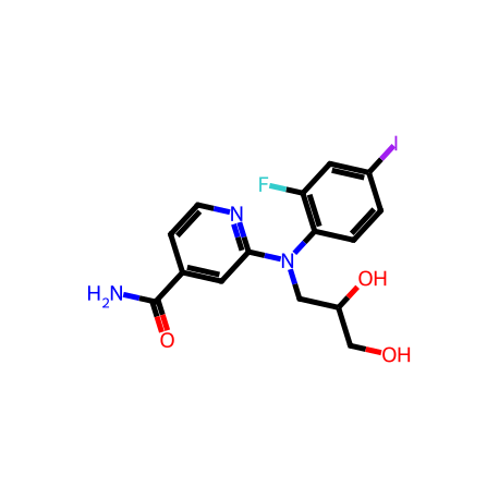 NC(=O)c1ccnc(N(CC(O)CO)c2ccc(I)cc2F)c1